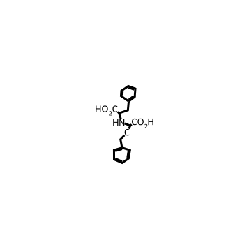 O=C(O)C(CCc1ccccc1)NC(Cc1ccccc1)C(=O)O